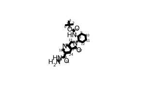 CC(C)(C)OC(=O)N[C@@H]1CCCC[C@H]1N1Cc2ncc(C(=O)NN)cc2C1=O